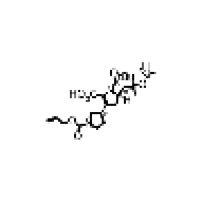 C=CCOC(=O)N1CC[C@H](C2=C(C(=O)O)N3C(=O)[C@H]([C@@](C)(O[SiH](C)C)C(C)(C)C)[C@H]3C2)C1